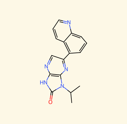 CC(C)n1c(=O)[nH]c2ncc(-c3cccc4ncccc34)nc21